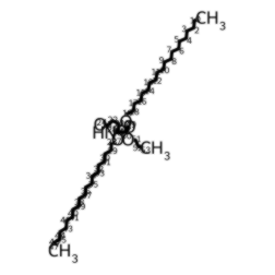 CCCCCCCCCCCCCCCCCCCCOC1CC(=O)N[C@]1(OCCCCCCCCCCCCCCCCCCCC)C(=O)OCCC